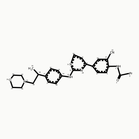 CC(C)C(=O)Nc1ccc(-c2ccnc(Nc3ccc(C(C)CN4CCOCC4)cc3)n2)cc1C#N